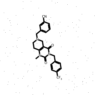 Cn1c2c(c(=O)n(Cc3ccc(C(F)(F)F)cc3)c1=O)CN(Cc1cccc(C#N)c1)CC2